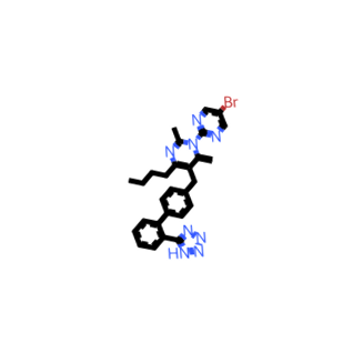 C=C1C(Cc2ccc(-c3ccccc3-c3nnn[nH]3)cc2)=C(CCCC)N=C(C)N1c1ncc(Br)cn1